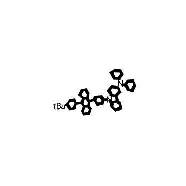 CC(C)(C)c1ccc(-c2c3ccccc3c(-c3ccc(-n4c5ccccc5c5cc(N(c6ccccc6)c6ccccc6)ccc54)cc3)c3ccccc23)cc1